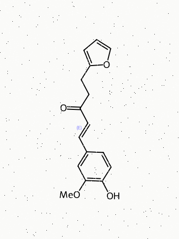 COc1cc(/C=C/C(=O)CCc2ccco2)ccc1O